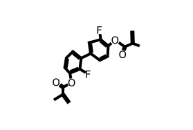 C=C(C)C(=O)Oc1ccc(-c2cccc(OC(=O)C(=C)C)c2F)cc1F